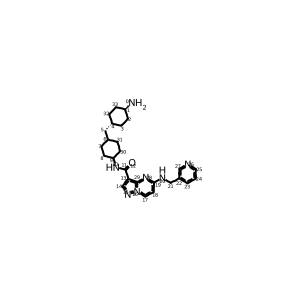 N[C@H]1CC[C@H](CC2CCC(NC(=O)c3cnn4ccc(NCc5cccnc5)nc34)CC2)CC1